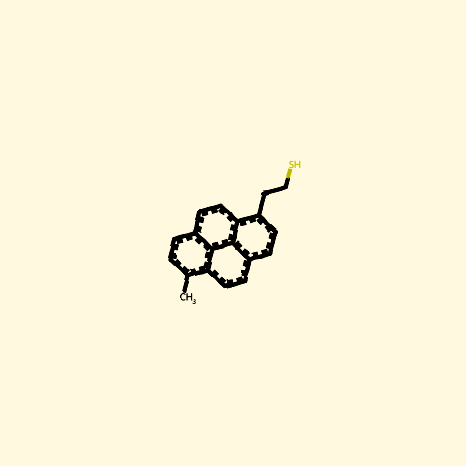 Cc1ccc2ccc3c(CCS)ccc4ccc1c2c43